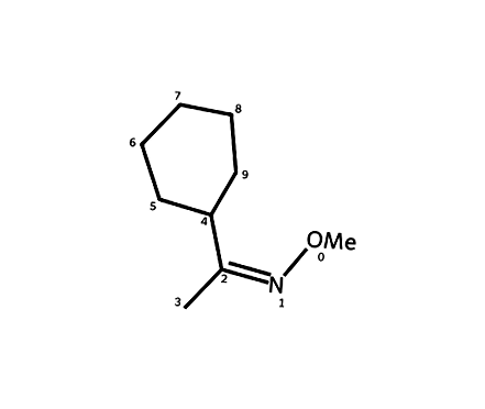 CO/N=C(/C)C1CCCCC1